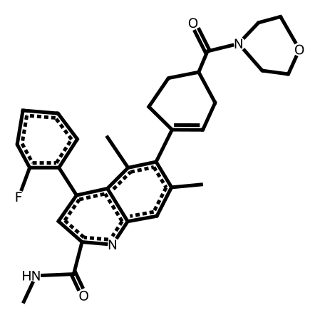 CNC(=O)c1cc(-c2ccccc2F)c2c(C)c(C3=CCC(C(=O)N4CCOCC4)CC3)c(C)cc2n1